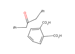 CC(C)CC(=O)CC(C)C.O=C(O)c1ccccc1C(=O)O